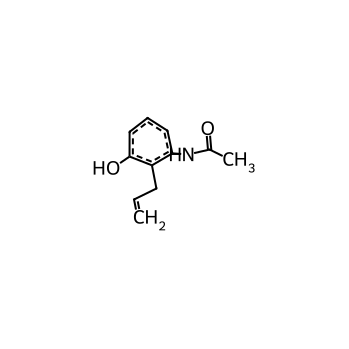 C=CCc1c(O)cccc1NC(C)=O